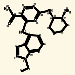 CCn1ncc2c(Nc3nc(N[C@@H]4CCCC[C@@H]4N)nnc3C(N)=O)cccc21